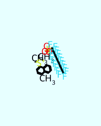 CC[S+](CC)c1ccc(C)c2ccccc12.O=S(=O)([O-])C(F)(F)C(F)(F)C(F)(F)C(F)(F)C(F)(F)C(F)(F)C(F)(F)C(F)(F)F